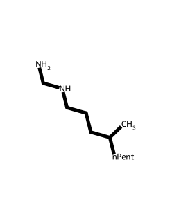 CCCCCC(C)CCCNCN